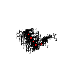 CCCCC(CC)CN(CC(CC)CCCC)C(=S)[S-].CCCCC(CC)CN(CC(CC)CCCC)C(=S)[S-].CCCCC(CC)CN(CC(CC)CCCC)C(=S)[S-].CCCCC(CC)CN(CC(CC)CCCC)C(=S)[S-].CCCCC(CC)CN(CC(CC)CCCC)C(=S)[S-].CCCCC(CC)CN(CC(CC)CCCC)C(=S)[S-].[W+6]